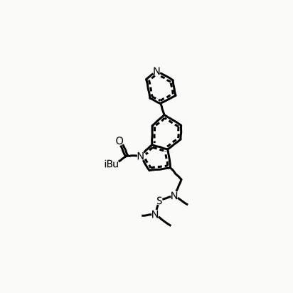 CCC(C)C(=O)n1cc(CN(C)SN(C)C)c2ccc(-c3ccncc3)cc21